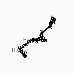 CC(C(=O)OCCOCCOCCOC(=O)C(C)c1ccc(N2Cc3ccc(-c4ccc5cnccc5c4S(=O)(=O)N4CCCN(C(=O)CCCCCCCCC(=O)N5CCCN(S(=O)(=O)c6cccc7cnccc67)CC5)CC4)cc3C2=O)cc1)c1ccc(N2Cc3ccccc3C2=O)cc1